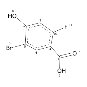 O=C(O)c1cc(Br)c(O)cc1F